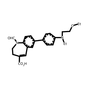 CCOCCN(CC)c1ccc(-c2ccc3c(c2)C=C(C(=O)O)CCN3C=O)cc1